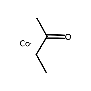 CCC(C)=O.[Co]